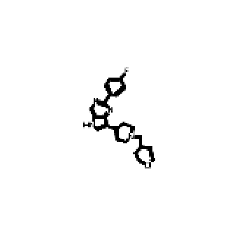 Fc1ccc(-c2ncc3[nH]cc(C4CCN(CC5CCOCC5)CC4)c3n2)cc1